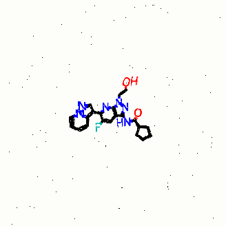 O=C(Nc1nn(CCO)c2nc(-c3cnn4ccccc34)c(F)cc12)C1CCCC1